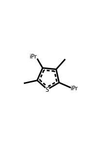 Cc1sc(C(C)C)c(C)c1C(C)C